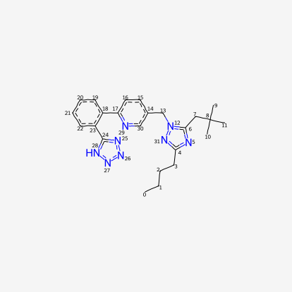 CCCCc1nc(CC(C)(C)C)n(Cc2ccc(-c3ccccc3-c3nnn[nH]3)nc2)n1